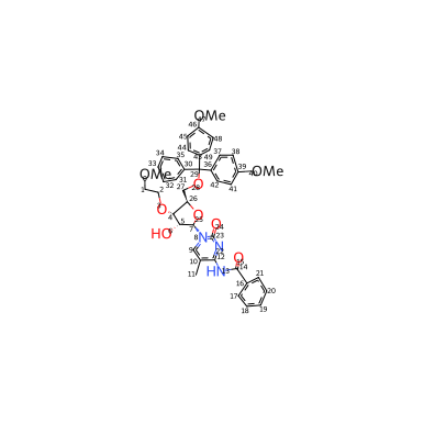 COCCO[C@H]1[C@@H](O)[C@H](n2cc(C)c(NC(=O)c3ccccc3)nc2=O)O[C@@H]1COC(c1ccccc1)(c1ccc(OC)cc1)c1ccc(OC)cc1